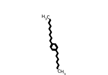 CCCCCCCCCc1ccc(CCCCCCC)cc1